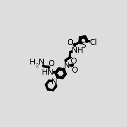 NCC(=O)Nc1cc(N2CC(CNC(=O)c3ccc(Cl)s3)OC2=O)ccc1N1CCCCC1